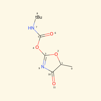 CC1OC(OC(=O)NC(C)(C)C)=NC1=O